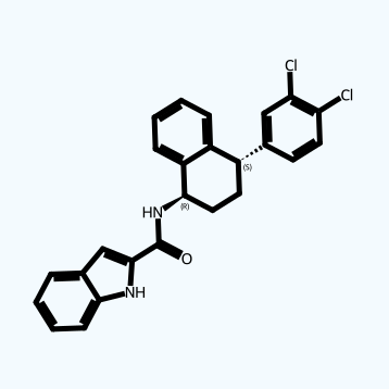 O=C(N[C@@H]1CC[C@@H](c2ccc(Cl)c(Cl)c2)c2ccccc21)c1cc2ccccc2[nH]1